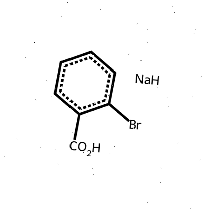 O=C(O)c1ccccc1Br.[NaH]